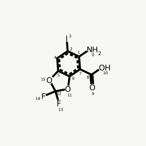 Nc1c(I)cc2c(c1C(=O)O)OC(F)(F)O2